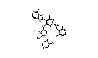 Cc1nc(NCc2c(F)cccc2F)nc(NC2C[C@H](CN3CCOCC3=O)[C@@H](O)[C@H]2O)c1-c1nc2c(C)nccc2s1